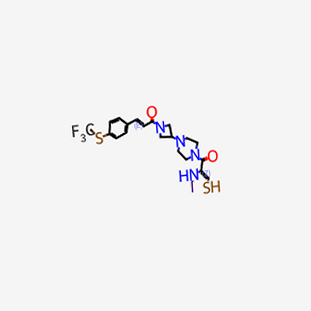 O=C(/C=C/c1ccc(SC(F)(F)F)cc1)N1CC(N2CCN(C(=O)/C(=C/S)NI)CC2)C1